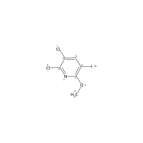 COc1nc(Cl)c(Cl)cc1I